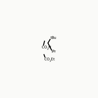 CC(=O)O.CC(C)CC(C)(C)C.CCOC(C)=O